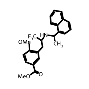 COC(=O)c1ccc(OC)c(CC(N[C@H](C)c2cccc3ccccc23)C(F)(F)F)c1